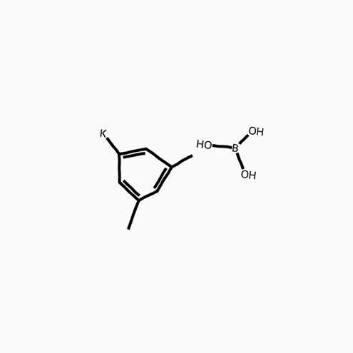 Cc1cc(C)c[c]([K])c1.OB(O)O